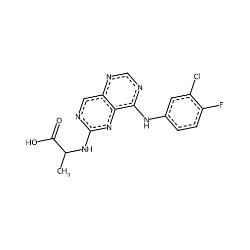 CC(Nc1ncc2ncnc(Nc3ccc(F)c(Cl)c3)c2n1)C(=O)O